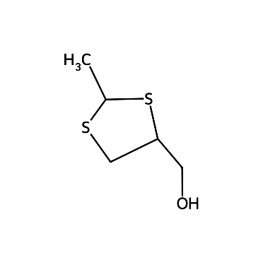 CC1SCC(CO)S1